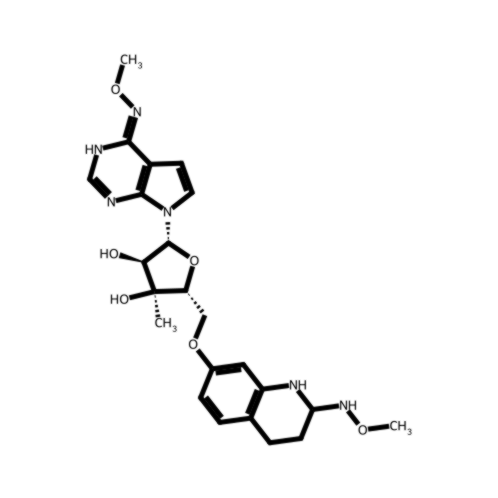 CO/N=c1\[nH]cnc2c1ccn2[C@@H]1O[C@H](COc2ccc3c(c2)NC(NOC)CC3)[C@@](C)(O)[C@H]1O